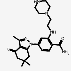 Cc1nn(-c2ccc(C(N)=O)c(NCCN3CCNCC3)c2)c2c1C(=O)CC(C)(C)C2